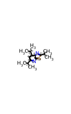 CC(C)c1cc(C(C)C)c2nc(C(C)C)sc2n1